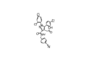 N#Cc1ccc(CNC(=O)c2nn(-c3ccc(Cl)cc3Cl)c(-c3ccc(Cl)cc3)c2CC(=O)O)cc1